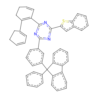 C1=CCCC(C2=C(c3nc(-c4cccc(C5(c6ccccc6)c6ccccc6-c6ccccc65)c4)nc(-c4cc5ccccc5s4)n3)C=CCC2)=C1